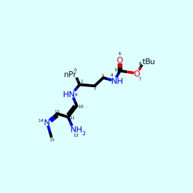 CCCC(CCNC(=O)OC(C)(C)C)N/C=C(N)\C=N/C